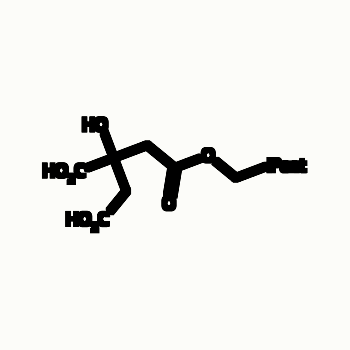 CCCC(C)COC(=O)CC(O)(CC(=O)O)C(=O)O